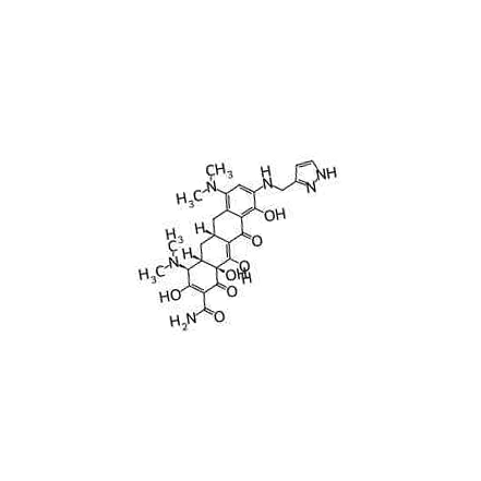 CN(C)c1cc(NCc2cc[nH]n2)c(O)c2c1C[C@H]1C[C@H]3[C@H](N(C)C)C(O)=C(C(N)=O)C(=O)[C@@]3(O)C(O)=C1C2=O